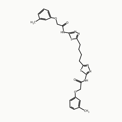 Cc1cccc(OCC(=O)Nc2nnc(CCCCc3nnc(NC(=O)COc4cccc(C)c4)s3)s2)c1